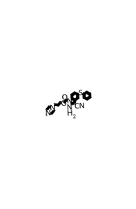 CN1CCN(CCCOC(=O)n2c(N)c(C#N)c3cc(Sc4ccccc4)ccc32)CC1